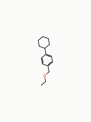 CCOCc1ccc(C2CCCCC2)cc1